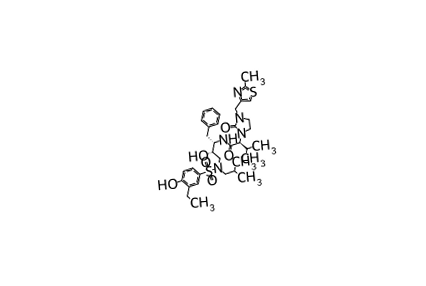 CCc1cc(S(=O)(=O)N(CC(C)C)C[C@H](O)[C@H](Cc2ccccc2)NC(=O)[C@H](C(C)C)N2CCN(Cc3csc(C)n3)C2=O)ccc1O